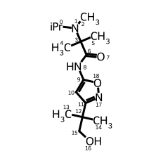 CC(C)N(C)C(C)(C)C(=O)Nc1cc(C(C)(C)CO)no1